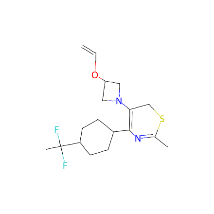 C=COC1CN(C2=C(C3CCC(C(C)(F)F)CC3)N=C(C)SC2)C1